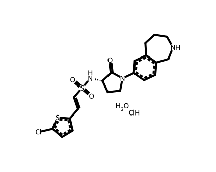 Cl.O.O=C1[C@@H](NS(=O)(=O)C=Cc2ccc(Cl)s2)CCN1c1ccc2c(c1)CCCNC2